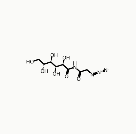 [N-]=[N+]=NCC(=O)NC(=O)[C@H](O)[C@@H](O)[C@H](O)[C@H](O)CO